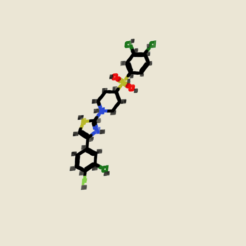 O=S(=O)(c1ccc(Cl)c(Cl)c1)C1CCN(c2nc(-c3ccc(F)c(Cl)c3)cs2)CC1